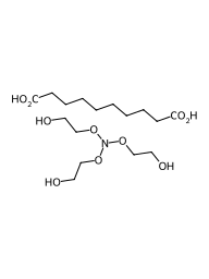 O=C(O)CCCCCCCCC(=O)O.OCCON(OCCO)OCCO